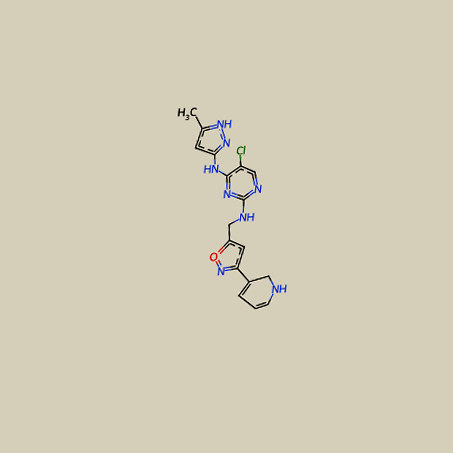 Cc1cc(Nc2nc(NCc3cc(C4=CC=CNC4)no3)ncc2Cl)n[nH]1